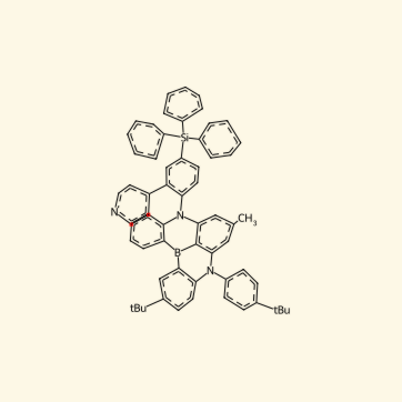 Cc1cc2c3c(c1)N(c1ccc([Si](c4ccccc4)(c4ccccc4)c4ccccc4)cc1-c1ccncc1)c1ccccc1B3c1cc(C(C)(C)C)ccc1N2c1ccc(C(C)(C)C)cc1